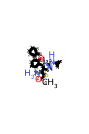 CC(=O)c1sc2nc(NC3CC3)nc(-c3ccccc3OCc3ccccc3)c2c1N